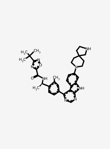 Cc1cc(-c2ncnc3[nH]c4cc(N5CCC6(CCNC6)CC5)ccc4c23)ccc1[C@@H](C)NC(=O)c1nc(C(C)(C)C)no1